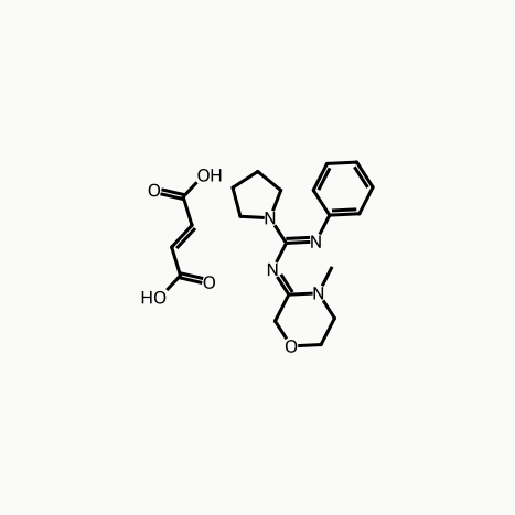 CN1CCOCC1=NC(=Nc1ccccc1)N1CCCC1.O=C(O)/C=C/C(=O)O